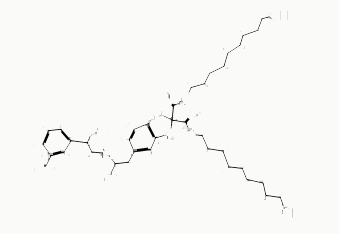 CCCCCCCCCCOC(=O)C1(C(=O)OCCCCCCCCCC)Oc2ccc(CC(C)NCC(O)c3cccc(Cl)c3)cc2O1